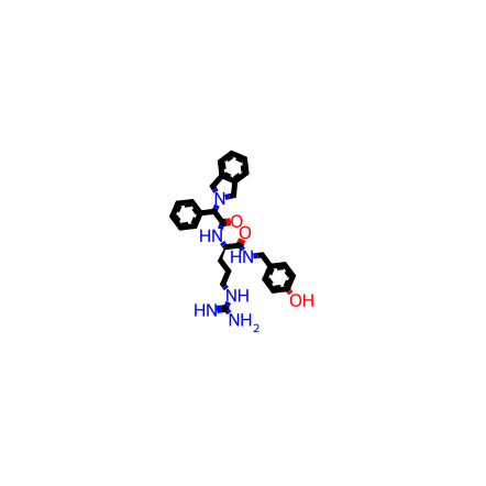 N=C(N)NCCC[C@@H](NC(=O)C(c1ccccc1)N1Cc2ccccc2C1)C(=O)NCc1ccc(O)cc1